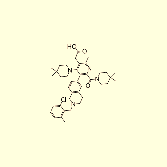 Cc1cccc(Cl)c1CN1CCc2cc(-c3c(C(=O)N4CCC(C)(C)CC4)nc(C)c(CC(=O)O)c3N3CCC(C)(C)CC3)ccc2C1